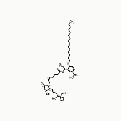 CCCCCCCCCCCCCCCOc1ccc(C(=O)O)cc1C(CC)OC(=O)CCC/C=C\C[C@@H]1[C@@H](/C=C/C[C@H](O)C2(CC)CCC2)[C@H](O)C[C@H]1Cl